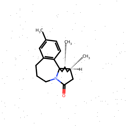 Cc1ccc2c(c1)CCCN1C(=O)C[C@H]3[C@H](C)[C@@H](C)CC231